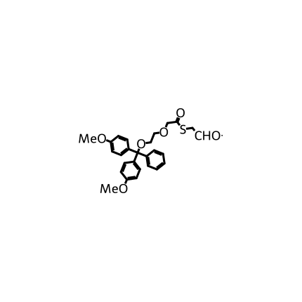 COc1ccc(C(OCCOCC(=O)SC[C]=O)(c2ccccc2)c2ccc(OC)cc2)cc1